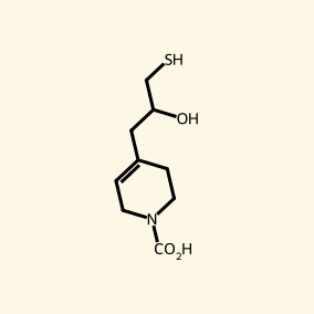 O=C(O)N1CC=C(CC(O)CS)CC1